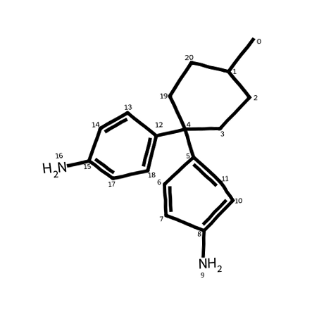 C[C]1CCC(c2ccc(N)cc2)(c2ccc(N)cc2)CC1